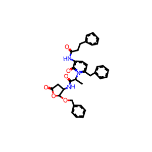 CC(C(=O)NC1CC(=O)OC1OCc1ccccc1)n1c(Cc2ccccc2)ccc(NC(=O)CCc2ccccc2)c1=O